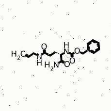 C=CCNC(=O)CC[C@H](NC(=O)OCc1ccccc1)C(N)=O